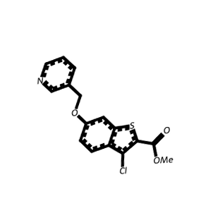 COC(=O)c1sc2cc(OCc3cccnc3)ccc2c1Cl